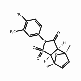 C[C@]12C=C[C@H](O1)[C@@H]1[C@H]2C(=O)N(c2ccc(C#N)c(C(F)(F)F)c2)S1(=O)=O